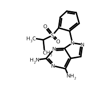 CC(C)S(=O)(=O)c1ccccc1-n1ncc2c(N)nc(N)nc21